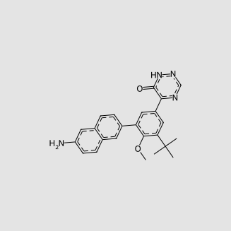 COc1c(-c2ccc3cc(N)ccc3c2)cc(-c2ncn[nH]c2=O)cc1C(C)(C)C